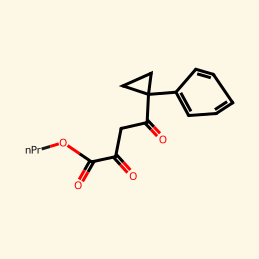 CCCOC(=O)C(=O)CC(=O)C1(c2ccccc2)CC1